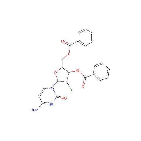 Nc1ccn(C2OC(COC(=O)c3ccccc3)C(OC(=O)c3ccccc3)C2F)c(=O)n1